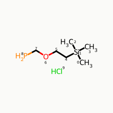 C[Si](C)(C)CCOCP.Cl